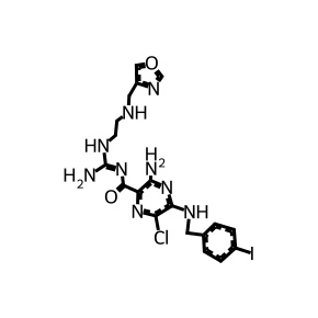 N/C(=N\C(=O)c1nc(Cl)c(NCc2ccc(I)cc2)nc1N)NCCNCc1cocn1